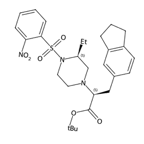 CC[C@H]1CN([C@@H](Cc2ccc3c(c2)CCC3)C(=O)OC(C)(C)C)CCN1S(=O)(=O)c1ccccc1[N+](=O)[O-]